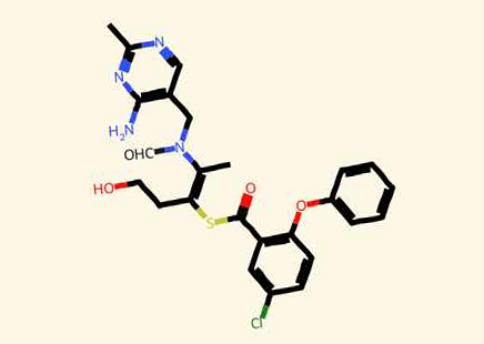 CC(=C(CCO)SC(=O)c1cc(Cl)ccc1Oc1ccccc1)N(C=O)Cc1cnc(C)nc1N